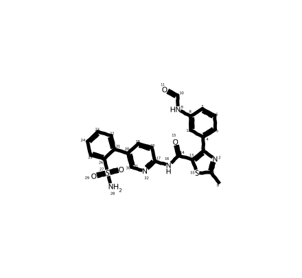 Cc1nc(-c2cccc(NC=O)c2)c(C(=O)Nc2ccc(-c3ccccc3S(N)(=O)=O)cn2)s1